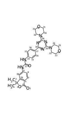 CC1(C)OC(=O)c2ccc(NC(=O)Nc3ccc(-c4nc(N5CCOCC5)nc(N5CCOCC5)n4)cc3)cc21